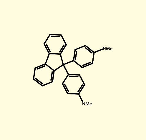 CNc1ccc(C2(c3ccc(NC)cc3)c3ccccc3-c3ccccc32)cc1